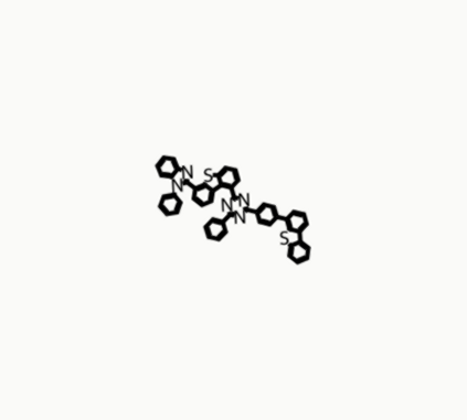 c1ccc(-c2nc(-c3ccc(-c4cccc5c4sc4ccccc45)cc3)nc(-c3cccc4sc5c(-c6nc7ccccc7n6-c6ccccc6)cccc5c34)n2)cc1